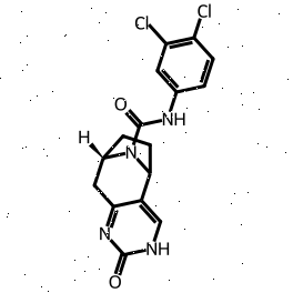 O=C(Nc1ccc(Cl)c(Cl)c1)N1C2CC[C@H]1Cc1nc(=O)[nH]cc12